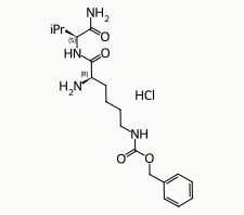 CC(C)[C@H](NC(=O)[C@H](N)CCCCNC(=O)OCc1ccccc1)C(N)=O.Cl